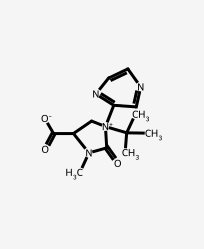 CN1C(=O)[N+](c2cnccn2)(C(C)(C)C)CC1C(=O)[O-]